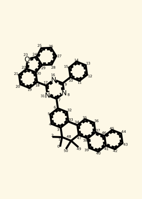 CC1(C)c2ccc(-c3nc(-c4ccccc4)nc(-c4cccc5oc6ccccc6c45)n3)cc2-c2ccc3c(ccc4ccccc43)c2C1(C)C